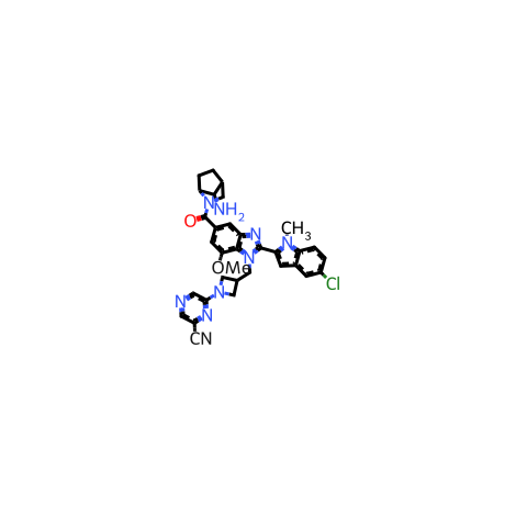 COc1cc(C(=O)N2CC3CCC2C3N)cc2nc(-c3cc4cc(Cl)ccc4n3C)n(CC3CN(c4cncc(C#N)n4)C3)c12